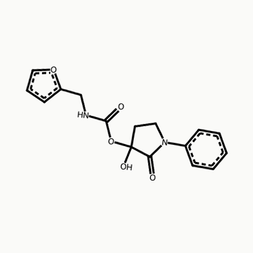 O=C(NCc1ccco1)OC1(O)CCN(c2ccccc2)C1=O